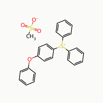 CS(=O)(=O)[O-].c1ccc(Oc2ccc([S+](c3ccccc3)c3ccccc3)cc2)cc1